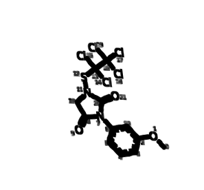 COc1cccc(N2C(=O)CN(SC(Cl)(Cl)C(Cl)(Cl)Cl)C2=O)c1